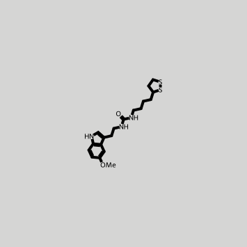 COc1ccc2[nH]cc(CCNC(=O)NCCCCC3CCSS3)c2c1